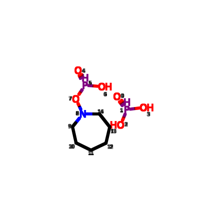 O=[PH](O)O.O=[PH](O)ON1CCCCCC1